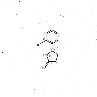 O=C1CCN(c2ccccc2I)N1